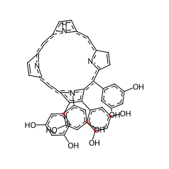 Oc1cc(O)cc(-c2c(-c3cc(O)cc(O)c3)c3c(-c4cc(O)cc(O)c4)c4nc(cc5ccc(cc6nc(cc2n3-c2cc(O)cc(O)c2)C=C6)[nH]5)C=C4)c1